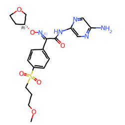 COCCCS(=O)(=O)c1ccc(/C(=N\O[C@@H]2CCOC2)C(=O)Nc2cnc(N)cn2)cc1